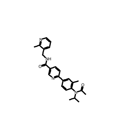 CC(=O)N(c1ccc(-c2ccc(C(=O)NCc3cccnc3C)cn2)cc1C)C(C)C